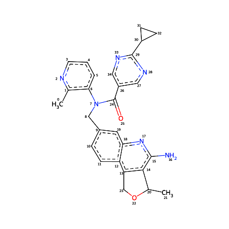 Cc1ncccc1N(Cc1ccc2c3c(c(N)nc2c1)C(C)OC3)C(=O)c1cnc(C2CC2)nc1